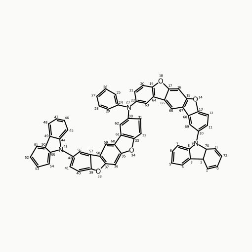 C1=CC2c3ccccc3N(c3ccc4oc5cc6oc7ccc(N(c8ccccc8)c8ccc9oc%10cc%11oc%12ccc(-n%13c%14ccccc%14c%14ccccc%14%13)cc%12c%11cc%10c9c8)cc7c6cc5c4c3)C2C=C1